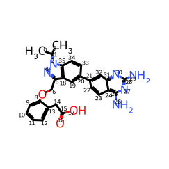 CC(C)n1nc(COc2ccccc2CC(=O)O)c2cc(-c3ccc4c(N)nc(N)nc4c3)ccc21